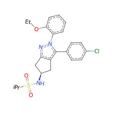 CCOc1ccccc1-n1nc2c(c1-c1ccc(Cl)cc1)C[C@@H](NS(=O)(=O)C(C)C)C2